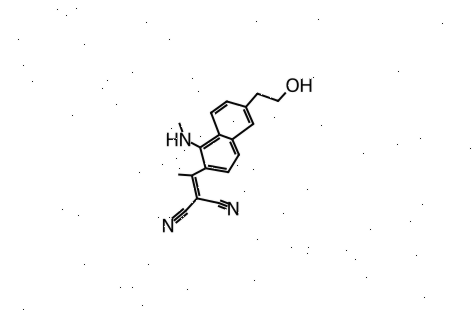 CNc1c(C(C)=C(C#N)C#N)ccc2cc(CCO)ccc12